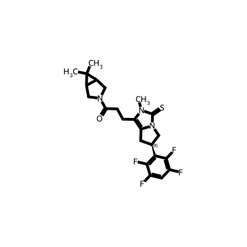 Cn1c(CCC(=O)N2CC3C(C2)C3(C)C)c2n(c1=S)C[C@@H](c1c(F)c(F)cc(F)c1F)C2